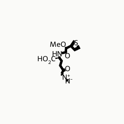 CO[C@H](C(=O)N[C@@H](CCC(=O)C=[N+]=[N-])C(=O)O)c1ccsc1